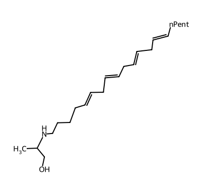 CCCCCC=CCC=CCC=CCC=CCCCCNC(C)CO